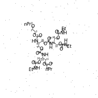 CCCOCCOC(=O)NC(COC(=O)NC(COC(=O)CCC)COC(=O)NCC)COC(=O)NC(COC(=O)NCC)COC(=O)NCC